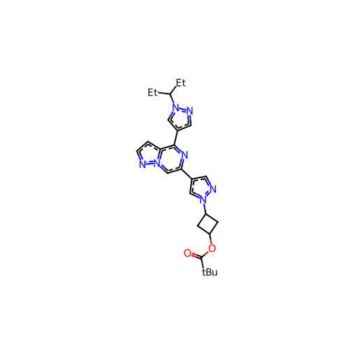 CCC(CC)n1cc(-c2nc(-c3cnn(C4CC(OC(=O)C(C)(C)C)C4)c3)cn3nccc23)cn1